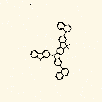 CC1(C)c2cc(-c3cccc4ccccc34)ccc2-c2cc3c(cc21)c1cc(-c2cccc4ccccc24)ccc1n3-c1ccc2c(c1)sc1ccccc12